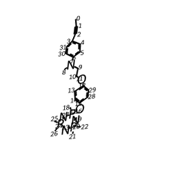 CC#Cc1ccc(N(C)CCOc2ccc(OP3(C)=NP(C)(C)=NP(C)(C)=N3)cc2)cc1